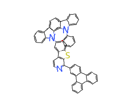 c1ccc(-n2c3ccccc3c3ccc4c5ccccc5n(-c5ccc6sc7c(-c8ccc9c%10ccccc%10c%10ccccc%10c9c8)nccc7c6c5)c4c32)cc1